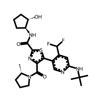 C[C@H]1CCCN1C(=O)c1nc(C(=O)N[C@H]2CCC[C@@H]2O)sc1-c1cnc(NC(C)(C)C)cc1C(F)F